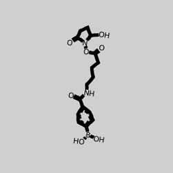 O=C(CCCCNC(=O)c1ccc(B(O)O)cc1)ON1C(=O)CCC1O